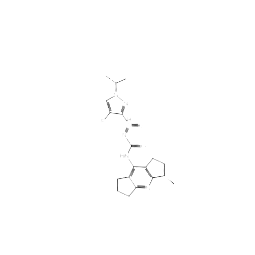 CC(C)n1cc(F)c(/[SH](=O)=N/C(=O)Nc2c3c(nc4c2CC[C@H]4C)CCC3)n1